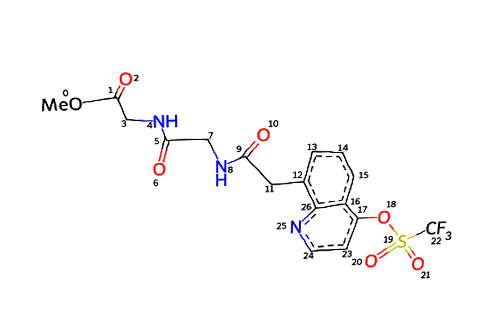 COC(=O)CNC(=O)CNC(=O)Cc1cccc2c(OS(=O)(=O)C(F)(F)F)ccnc12